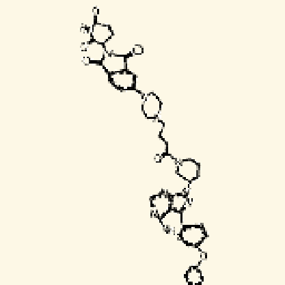 Nc1ncnc2c1c(-c1ccc(Oc3ccccc3)cc1)nn2C1CCCN(C(=O)CCCN2CCN(c3ccc4c(c3)C(=O)N(C3CCC(=O)NC3=O)C4=O)CC2)C1